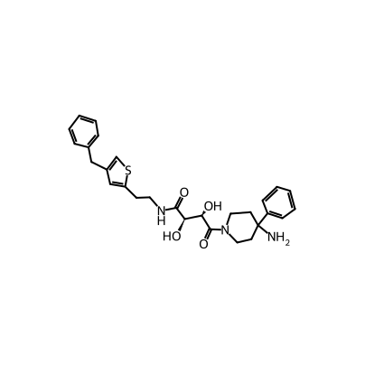 NC1(c2ccccc2)CCN(C(=O)[C@H](O)[C@@H](O)C(=O)NCCc2cc(Cc3ccccc3)cs2)CC1